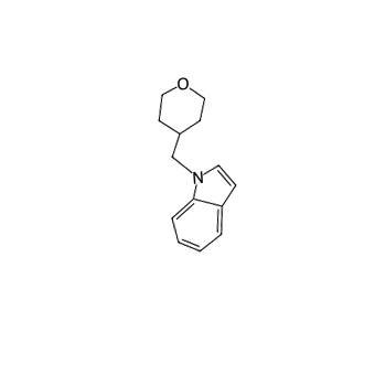 c1ccc2c(c1)ccn2CC1CCOCC1